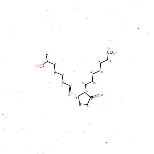 CC(O)CCCCC=C[C@H]1CCC(=O)[C@@H]1CCCCCCC(=O)O